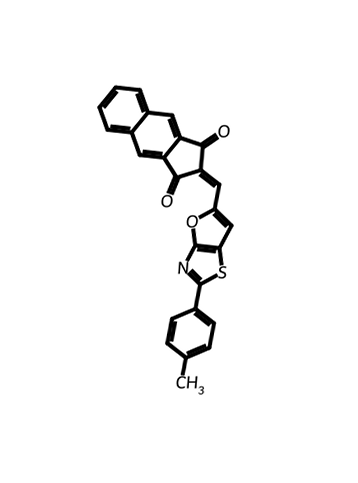 Cc1ccc(-c2nc3oc(C=C4C(=O)c5cc6ccccc6cc5C4=O)cc3s2)cc1